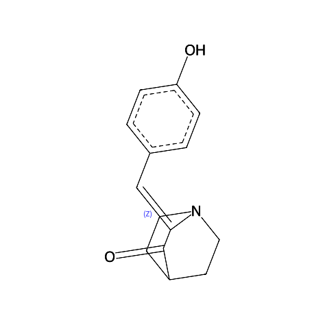 O=C1/C(=C/c2ccc(O)cc2)N2CCC1CC2